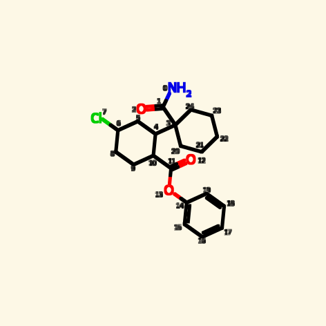 NC(=O)C1(C2CC(Cl)CCC2C(=O)Oc2ccccc2)CCCCC1